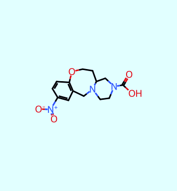 O=C(O)N1CCN2Cc3cc([N+](=O)[O-])ccc3OCCC2C1